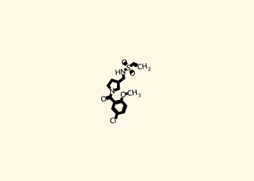 C=CS(=O)(=O)NCC1CCN(C(=O)c2cc(Cl)ccc2OC)C1